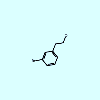 [O]CCc1cccc(Br)c1